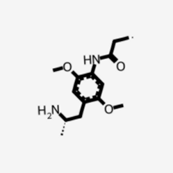 [CH2]CC(=O)Nc1cc(OC)c(C[C@H](C)N)cc1OC